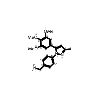 COc1cc(-c2cc(C)nn2-c2ccc(CN)cc2)cc(OC)c1OC